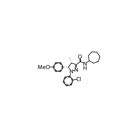 COc1ccc([C@@H]2[C@H](C)C(C(=O)NC3CCCCCC3)=NN2c2ccccc2Cl)cc1